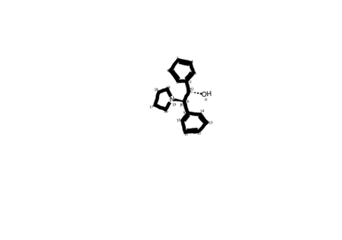 O[C@@H](c1ccccc1)[C@@H](c1ccccc1)N1CCCC1